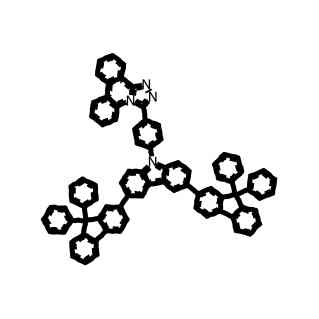 c1ccc(C2(c3ccccc3)c3ccccc3-c3ccc(-c4ccc5c(c4)c4cc(-c6ccc7c(c6)C(c6ccccc6)(c6ccccc6)c6ccccc6-7)ccc4n5-c4ccc(-c5nnc6c7ccccc7c7ccccc7n56)cc4)cc32)cc1